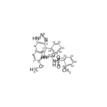 COc1ccc(Cc2[nH]nnc2C(CNC(=O)NS(=O)(=O)c2ccccc2C)c2ccccc2)cc1